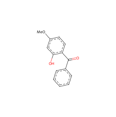 COc1[c]cc(C(=O)c2ccccc2)c(O)c1